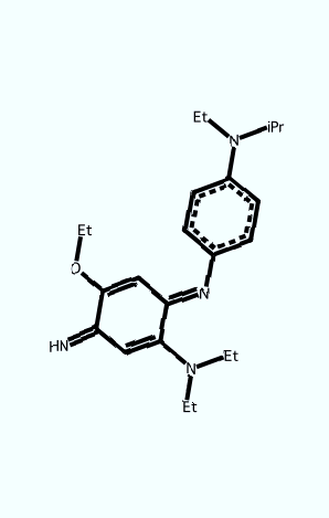 CCOC1=CC(=Nc2ccc(N(CC)C(C)C)cc2)C(N(CC)CC)=CC1=N